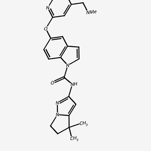 CNCc1cc(Oc2ccc3c(ccn3C(=O)Nc3cc4n(n3)CCC4(C)C)c2)ncn1